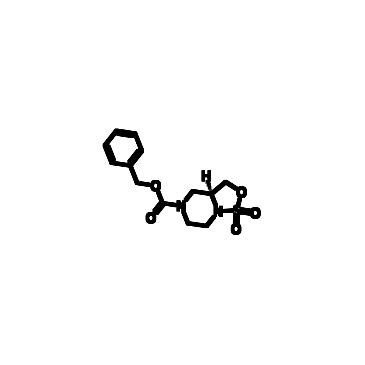 O=C(OCc1ccccc1)N1CCN2[C@H](COS2(=O)=O)C1